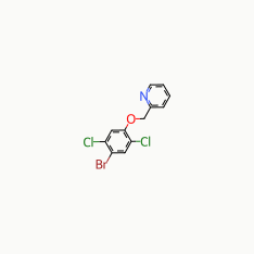 Clc1cc(OCc2ccccn2)c(Cl)cc1Br